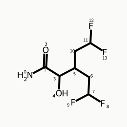 NC(=O)C(O)C(CC(F)F)CC(F)F